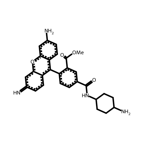 COC(=O)c1cc(C(=O)NC2CCC(N)CC2)ccc1-c1c2ccc(=N)cc-2oc2cc(N)ccc12